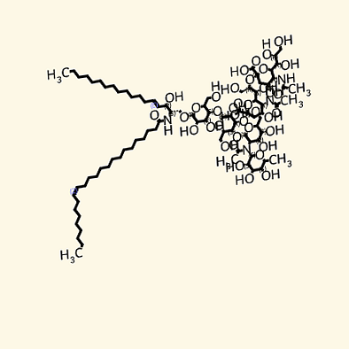 CCCCCCCC/C=C\CCCCCCCCCCCCCC(=O)N[C@@H](CO[C@@H]1OC(CO)[C@@H](O[C@@H]2OC(CO)[C@H](O[C@@H]3OC(CO)[C@H](O)[C@H](O)C3N(C(C)=O)[C@H]3OC(C)[C@@H](O)C(O)[C@@H]3O)[C@H](O[C@]3(C(=O)O)CC(O)[C@@H](NC(C)=O)C([C@H](O)[C@@H](CO)O[C@]4(C(=O)O)CC(O)[C@@H](NC(C)=O)C([C@H](O)[C@H](O)CO)O4)O3)C2O)[C@H](O)C1O)[C@H](O)/C=C/CCCCCCCCCCCCC